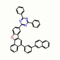 c1ccc(-c2nc(-c3ccccc3)nc(-c3ccc4oc5c6ccccc6c(-c6cccc(-c7ccc8ccccc8c7)c6)cc5c4c3)n2)cc1